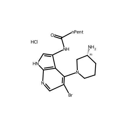 CCCCCC(=O)Nc1c[nH]c2ncc(Br)c(N3CCC[C@@H](N)C3)c12.Cl